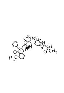 CC(=O)Nc1nc2ccc(C(=N)c3c(N)ncnc3NCc3cc4cccc(C)c4c(=O)n3-c3ccccc3)cc2s1